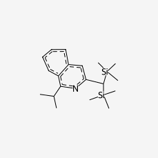 CC(C)c1nc(C([Si](C)(C)C)[Si](C)(C)C)cc2ccccc12